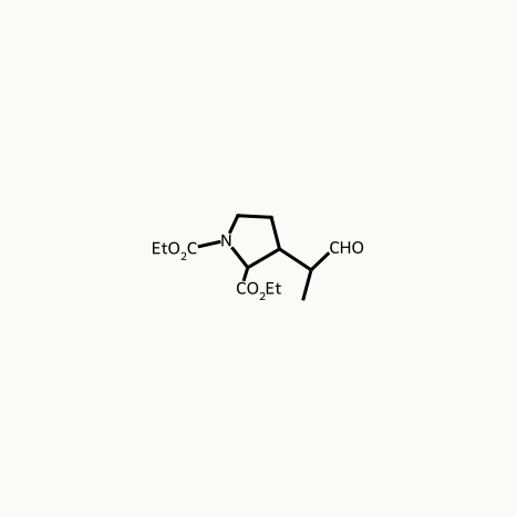 CCOC(=O)C1C(C(C)C=O)CCN1C(=O)OCC